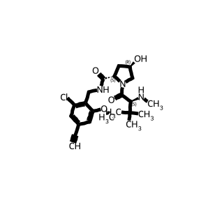 C#Cc1cc(Cl)c(CNC(=O)[C@@H]2C[C@@H](O)CN2C(=O)[C@@H](NC)C(C)(C)C)c(OC)c1